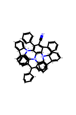 N#Cc1c(-c2ccccc2)c(-n2c3ccccc3c3ccccc32)c(N2c3ccccc3C(c3ccccc3)c3ccccc32)c(-n2c3ccccc3c3ccccc32)c1-c1ccccc1